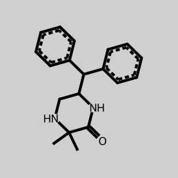 CC1(C)NCC(C(c2ccccc2)c2ccccc2)NC1=O